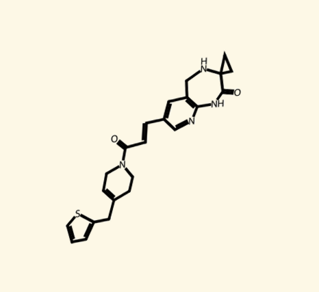 O=C(/C=C/c1cnc2c(c1)CNC1(CC1)C(=O)N2)N1CC=C(Cc2cccs2)CC1